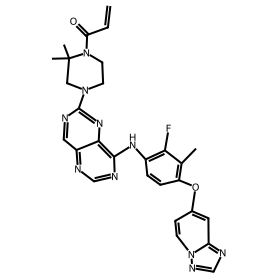 C=CC(=O)N1CCN(c2ncc3ncnc(Nc4ccc(Oc5ccn6ncnc6c5)c(C)c4F)c3n2)CC1(C)C